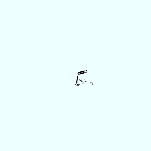 O=NO.[AlH3].[Ti]